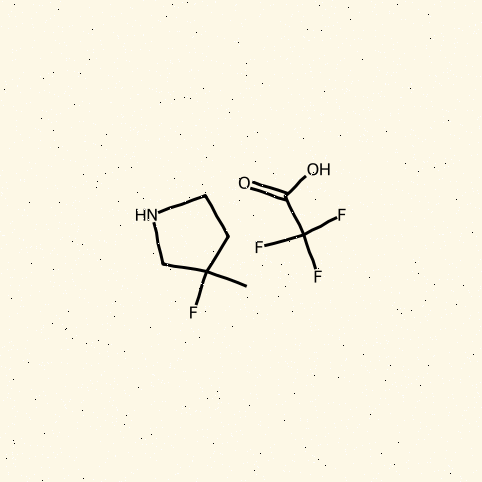 CC1(F)CCNC1.O=C(O)C(F)(F)F